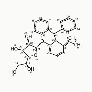 CC(C)=C1C=CC=C(O[C@H]2O[C@H]([C@@H](O)CO)[C@@H](O)[C@H]2O)C1C(c1ccccc1)c1ccccc1